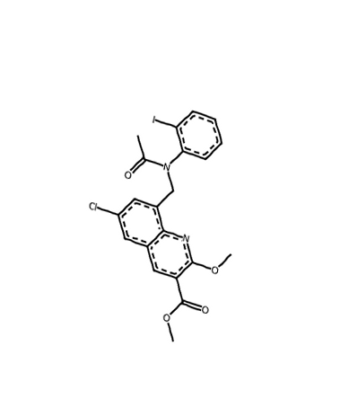 COC(=O)c1cc2cc(Cl)cc(CN(C(C)=O)c3ccccc3I)c2nc1OC